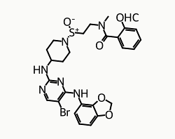 CN(CC[S+]([O-])N1CCC(Nc2ncc(Br)c(Nc3cccc4c3OCO4)n2)CC1)C(=O)c1ccccc1C=O